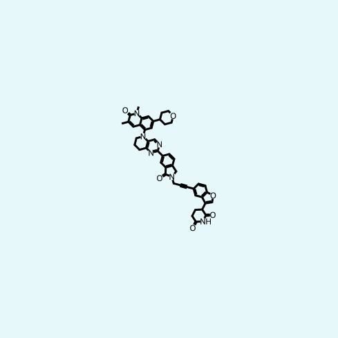 Cc1cc2c(N3CCCc4nc(-c5ccc6c(c5)C(=O)N(CC#Cc5ccc7occ(C8CCC(=O)NC8=O)c7c5)C6)ncc43)cc(C3CCOCC3)cc2n(C)c1=O